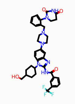 O=C1CCN(c2ccccc2CN2CCN(c3ccc4c(c3)nc(NC(=O)c3cccc(C(F)(F)F)c3)n4C3CCC(CO)CC3)CC2)C(=O)N1